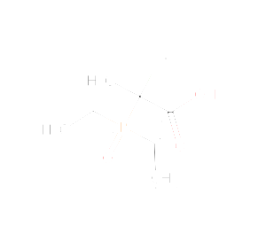 CCP(=O)(CC)C(C)(F)C(=O)O